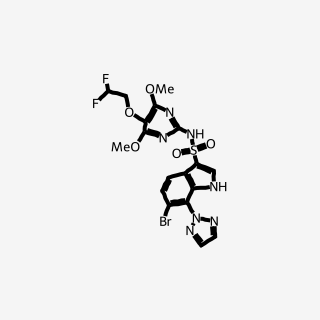 COc1nc(NS(=O)(=O)c2c[nH]c3c(-n4nccn4)c(Br)ccc23)nc(OC)c1OCC(F)F